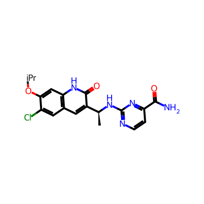 CC(C)Oc1cc2[nH]c(=O)c([C@H](C)Nc3nccc(C(N)=O)n3)cc2cc1Cl